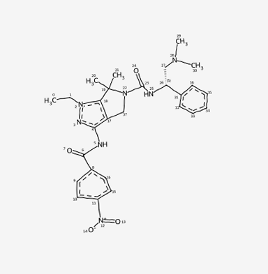 CCn1nc(NC(=O)c2ccc([N+](=O)[O-])cc2)c2c1C(C)(C)N(C(=O)N[C@H](CN(C)C)c1ccccc1)C2